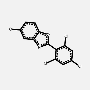 [O]c1ccc2oc(-c3c(Cl)cc(Cl)cc3Cl)nc2c1